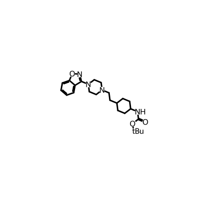 CC(C)(C)OC(=O)NC1CCC(CCN2CCN(c3noc4ccccc34)CC2)CC1